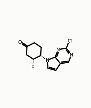 O=C1CC[C@H](n2ccc3cnc(Cl)nc32)[C@H](F)C1